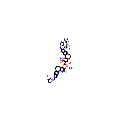 CN(C)C1CCN(Cc2cc3cc4c(cc3n2C)CCCc2c-4[nH]c(=O)c(C(=O)Oc3c4c([nH]c(=O)c3C(=O)O)-c3cc5cc(CN6CC[C@@H](F)C6)n(C)c5cc3CCC4)c2O)C1